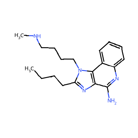 CCCCc1nc2c(N)nc3ccccc3c2n1CCCCNC